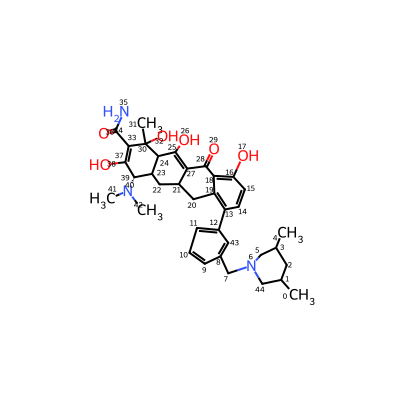 CC1CC(C)CN(Cc2cccc(-c3ccc(O)c4c3CC3CC5C(C(O)=C3C4=O)C(C)(O)C(C(N)=O)=C(O)[C@H]5N(C)C)c2)C1